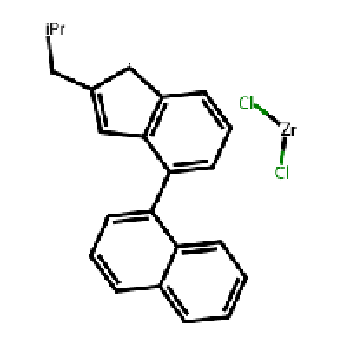 CC(C)CC1=Cc2c(cccc2-c2cccc3ccccc23)[CH]1.[Cl][Zr][Cl]